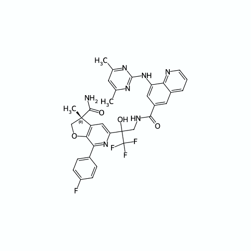 Cc1cc(C)nc(Nc2cc(C(=O)NCC(O)(c3cc4c(c(-c5ccc(F)cc5)n3)OC[C@]4(C)C(N)=O)C(F)(F)F)cc3cccnc23)n1